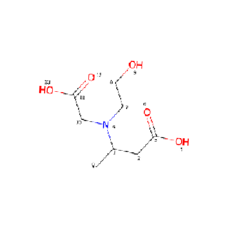 [CH2]C(CC(=O)O)N(CCO)CC(=O)O